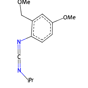 COCc1cc(OC)ccc1N=C=NC(C)C